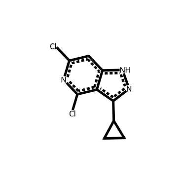 Clc1cc2[nH]nc(C3CC3)c2c(Cl)n1